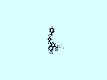 CC(=O)c1cnc(O[C@H]2C[C@H](OCc3ccccc3)C2)c2cnc(Cl)cc12